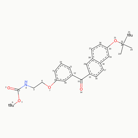 CC(C)(C)OC(=O)NCCOc1cccc(C(=O)c2ccc3cc(O[Si](C)(C)C(C)(C)C)ccc3c2)c1